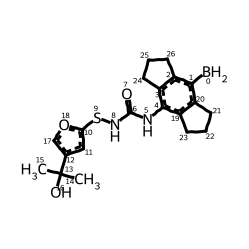 Bc1c2c(c(NC(=O)NSc3cc(C(C)(C)O)co3)c3c1CCC3)CCC2